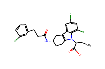 CCC(C(=O)O)n1c2c(c3cc(F)cc(Cl)c31)C[C@@H](NC(=O)CCc1cccc(Cl)c1)CC2